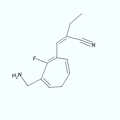 CC/C(C#N)=C/C1=C(F)C(CN)=CCC=C1